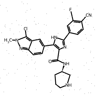 Cn1nc2ccc(-c3[nH]c(-c4ccc(C#N)c(F)c4)nc3C(=O)N[C@@H]3CCCNC3)cc2c1Cl